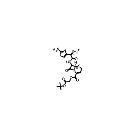 CO/N=C(\C(=O)NC1C(=O)N2C(C(=O)OCC(=O)OC(C)(C)C)=CCS[C@H]12)c1csc(N)n1